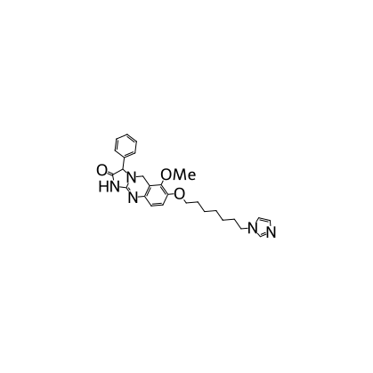 COc1c(OCCCCCCCn2ccnc2)ccc2c1CN1C(=N2)NC(=O)C1c1ccccc1